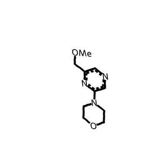 COCc1cncc(N2CCOCC2)n1